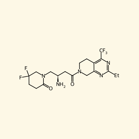 CCc1nc2c(c(C(F)(F)F)n1)CCN(C(=O)C[C@@H](N)CN1CC(F)(F)CCC1=O)C2